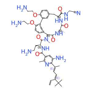 C=C/C(=C\C=C(/C)c1nc(C)c(C(=O)N[C@@H](CCN)C(=O)N(C)[C@@H]2C(=O)N[C@@H](C)C(=O)N[C@H](C(=O)NCC#N)Cc3ccc(OCCN)c(c3)-c3cc2ccc3OCCN)cc1N)C(C)(C)C